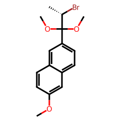 COc1ccc2cc(C(OC)(OC)[C@H](C)Br)ccc2c1